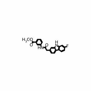 COC(=O)c1cccc(NC(=O)Cc2ccc3c(c2)[nH]c2cc(F)ccc23)c1